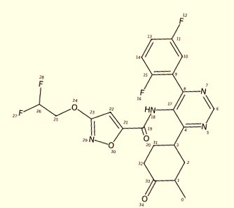 CC1CC(c2ncnc(-c3cc(F)ccc3F)c2NC(=O)c2cc(OCC(F)F)no2)CCC1=O